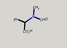 CC(C)C(C(=O)O)N(C)[C]=O